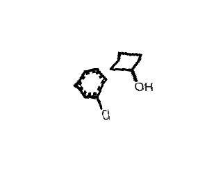 Clc1ccccc1.OC1CCC1